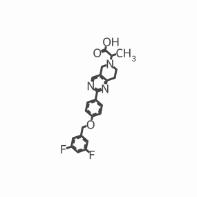 CC(C(=O)O)N1CCc2nc(-c3ccc(OCc4cc(F)cc(F)c4)cc3)ncc2C1